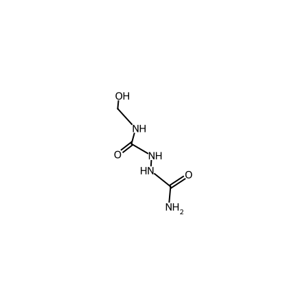 NC(=O)NNC(=O)NCO